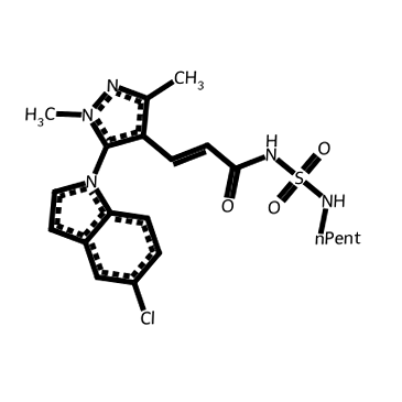 CCCCCNS(=O)(=O)NC(=O)C=Cc1c(C)nn(C)c1-n1ccc2cc(Cl)ccc21